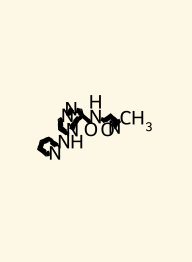 Cc1cc(NC(=O)c2cnn3ccc(Nc4ccccn4)nc23)on1